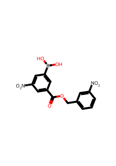 O=C(OCc1cccc([N+](=O)[O-])c1)c1cc(B(O)O)cc([N+](=O)[O-])c1